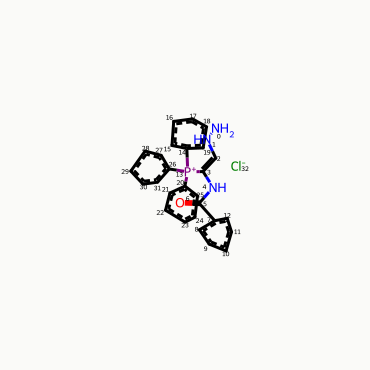 NN/C=C(/NC(=O)c1ccccc1)[P+](c1ccccc1)(c1ccccc1)c1ccccc1.[Cl-]